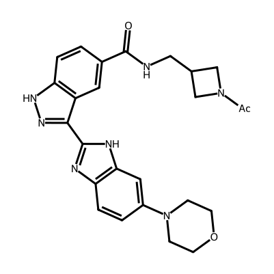 CC(=O)N1CC(CNC(=O)c2ccc3[nH]nc(-c4nc5ccc(N6CCOCC6)cc5[nH]4)c3c2)C1